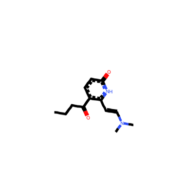 CCCC(=O)c1ccc(=O)[nH]c1C=CN(C)C